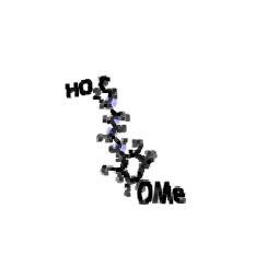 COc1cc(C)c(/C=C/C(C)=C/C=C(C)/C=C/C(=O)O)c(C)c1C